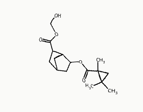 CC1(C)CC1(C)C(=O)OC1CC2CC(C(=O)OCO)C1C2